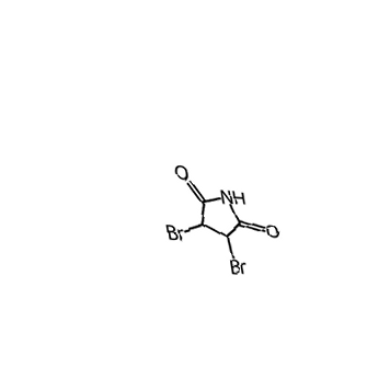 O=C1NC(=O)C(Br)C1Br